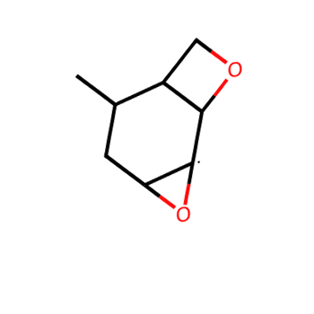 CC1CC2O[C]2C2OCC12